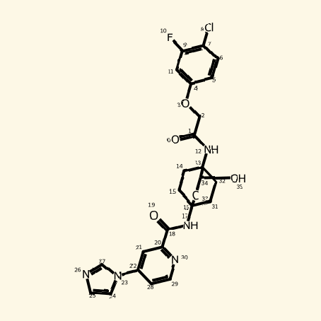 O=C(COc1ccc(Cl)c(F)c1)NC12CCC(NC(=O)c3cc(-n4ccnc4)ccn3)(CC1)CC2O